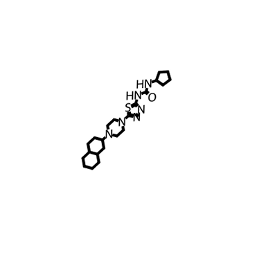 O=C(Nc1nnc(N2CCN(C3CCC4CCCCC4C3)CC2)s1)NC1CCCC1